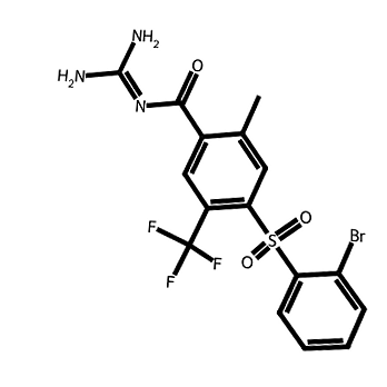 Cc1cc(S(=O)(=O)c2ccccc2Br)c(C(F)(F)F)cc1C(=O)N=C(N)N